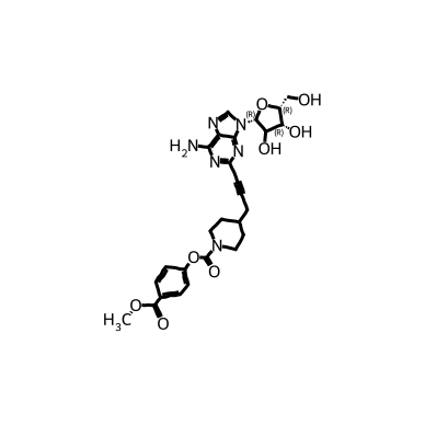 COC(=O)c1ccc(OC(=O)N2CCC(CC#Cc3nc(N)c4ncn([C@@H]5O[C@H](CO)[C@H](O)C5O)c4n3)CC2)cc1